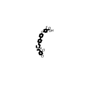 CCn1cc(-c2ccc(Cl)cc2Cl)nc1/C=C/c1ccc(-c2ccc(Oc3ccc(C(=O)O)c(F)c3)cc2)cc1